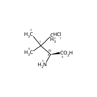 CC(C)(C)[C@H](N)C(=O)O.Cl